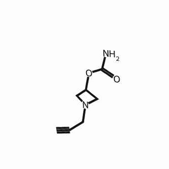 C#CCN1CC(OC(N)=O)C1